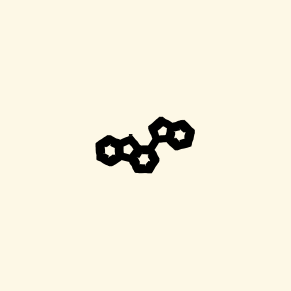 [CH]1c2ccccc2-c2cccc(C3C=Cc4ccccc43)c21